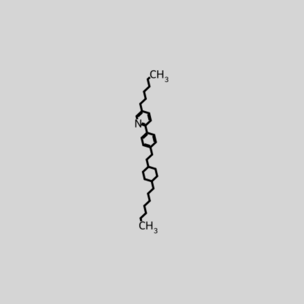 CCCCCCCC1CCC(CCc2ccc(-c3ccc(CCCCCC)cn3)cc2)CC1